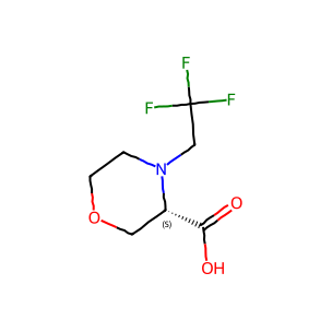 O=C(O)[C@@H]1COCCN1CC(F)(F)F